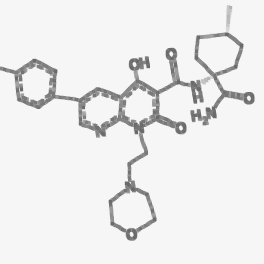 C[C@H]1CC[C@](NC(=O)c2c(O)c3cc(-c4ccc(F)cc4)cnc3n(CCN3CCOCC3)c2=O)(C(N)=O)CC1